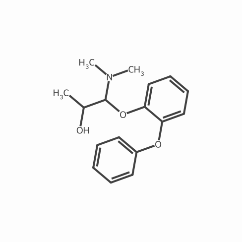 CC(O)C(Oc1ccccc1Oc1ccccc1)N(C)C